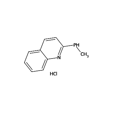 CPc1ccc2ccccc2n1.Cl